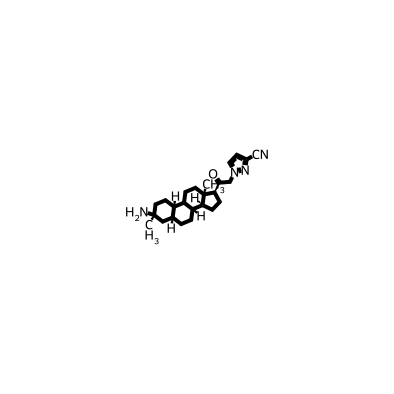 C[C@@]1(N)CC[C@@H]2C3CC[C@]4(C)[C@@H](C(=O)Cn5ccc(C#N)n5)CC[C@H]4[C@@H]3CC[C@@H]2C1